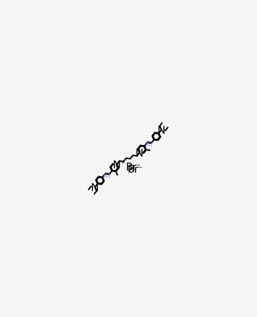 CCN(CC)c1ccc(/C=C/c2cc[n+](CCCCCC[n+]3ccc(/C=C/c4ccc(N(CC)CC)cc4)c(C)c3)cc2C)cc1.[Br-].[Br-]